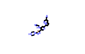 N#CCNc1cc(-c2ccc3cc(C#N)cnn23)ncc1-c1nnc(N2CCNCC2)s1